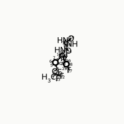 C[C@@H](OCc1cccc(-c2cc(NC(=O)[C@H]3CNC(=O)N3)nn2-c2ccc(F)cc2)c1)C(F)(F)F